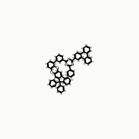 c1ccc(-c2nc(-c3cccc(-c4cccc5c4Oc4cc6c(cc4O5)C(c4ccccc4)(c4ccccc4)c4ccccc4-6)c3)nc(-c3ccc4c5ccccc5c5ccccc5c4c3)n2)cc1